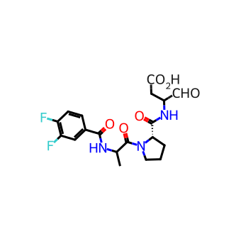 CC(NC(=O)c1ccc(F)c(F)c1)C(=O)N1CCC[C@H]1C(=O)NC(C=O)CC(=O)O